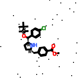 COC(=O)c1ccc(C[C@@H]2CC[C@H](C(O[Si](C)(C)C(C)(C)C)c3ccc(Cl)cc3)N2)cc1